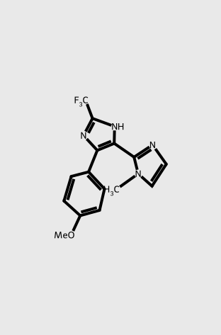 COc1ccc(-c2nc(C(F)(F)F)[nH]c2-c2nccn2C)cc1